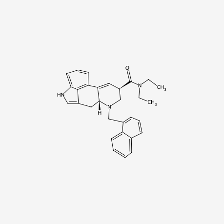 CCN(CC)C(=O)[C@@H]1C=C2c3cccc4[nH]cc(c34)C[C@H]2N(Cc2cccc3ccccc23)C1